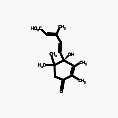 CC(C=C[C@@]1(O)C(C)=C(C)C(=O)CC1(C)C)=CC(=O)O